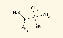 BN(C)C(C)(C)CCC